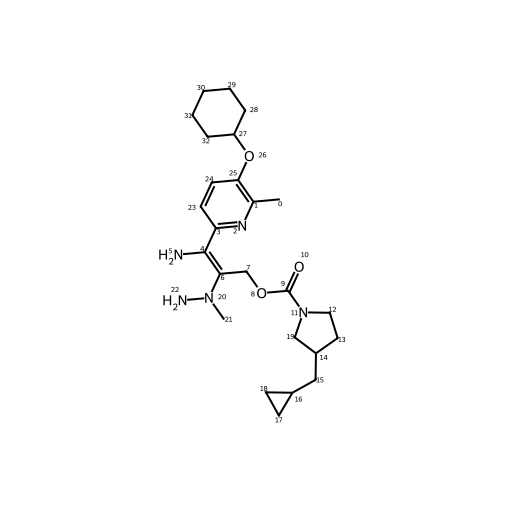 Cc1nc(/C(N)=C(\COC(=O)N2CCC(CC3CC3)C2)N(C)N)ccc1OC1CCCCC1